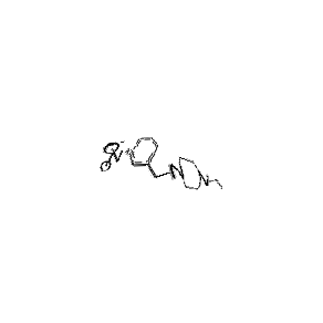 CCN1CCN(Cc2cccc([N+](=O)[O-])c2)CC1